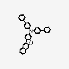 C1=CC2c3cc4ccccc4cc3OC2C=C1N(c1ccc(-c2ccccc2)cc1)c1ccc(-c2ccccc2)cc1